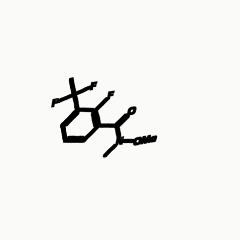 CON(C)C(=O)c1cccc(C(C)(F)F)c1F